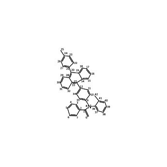 C=C(c1ccccc1)N(c1ccc(-c2c3ccccc3c(-c3ccc(C)cc3)c3ccccc23)cc1)c1ccccc1C